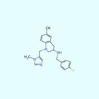 Cn1cncc1CN1CC(NCc2ccc(F)cc2)Cc2cc(C#N)ccc21